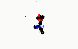 C1=CC2c3ccccc3C3(c4ccccc4Oc4c(-c5ccc(C6C=C(c7ccccc7)NC(c7ccc8c(c7)sc7ccccc78)N6)cc5)cccc43)C2C=C1